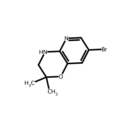 CC1(C)CNc2ncc(Br)cc2O1